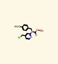 COc1ccc(CN(C(=O)OC(C)(C)C)c2cc(CBr)ccn2)cc1